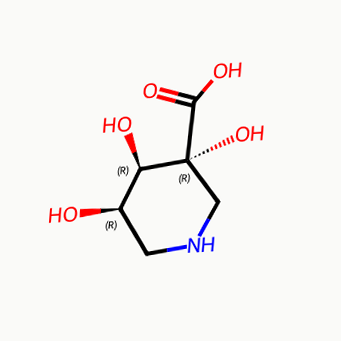 O=C(O)[C@@]1(O)CNC[C@@H](O)[C@H]1O